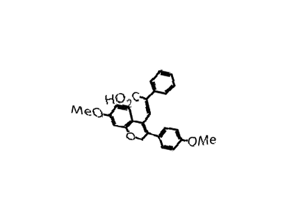 COc1ccc(C2=C(C=C(C(=O)O)c3ccccc3)c3ccc(OC)cc3OC2)cc1